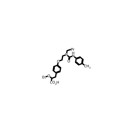 CCOC(Cc1ccc(OCCN(CC(C)C)C(=O)Nc2ccc(C)cc2)cc1)C(=O)O